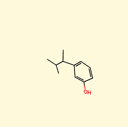 CC(C)C(C)c1cccc(O)c1